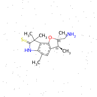 Cc1cc2c(c3c1NC(=S)C3(C)C)O[C@@](C)(CN)[C@H]2C